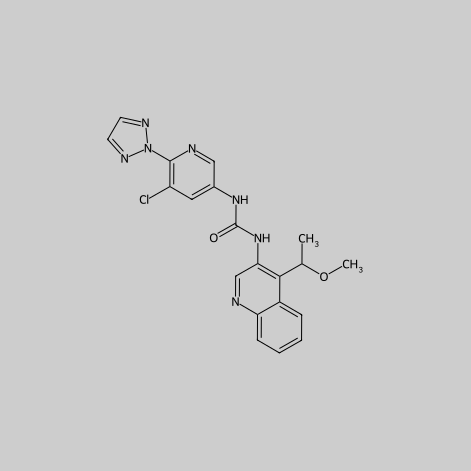 COC(C)c1c(NC(=O)Nc2cnc(-n3nccn3)c(Cl)c2)cnc2ccccc12